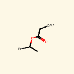 CCC(C)OC(=O)COC